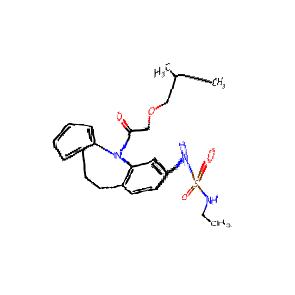 CCNS(=O)(=O)Nc1ccc2c(c1)N(C(=O)COCC(C)C)c1ccccc1CC2